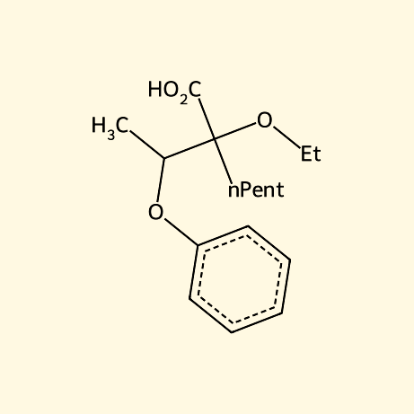 CCCCCC(OCC)(C(=O)O)C(C)Oc1ccccc1